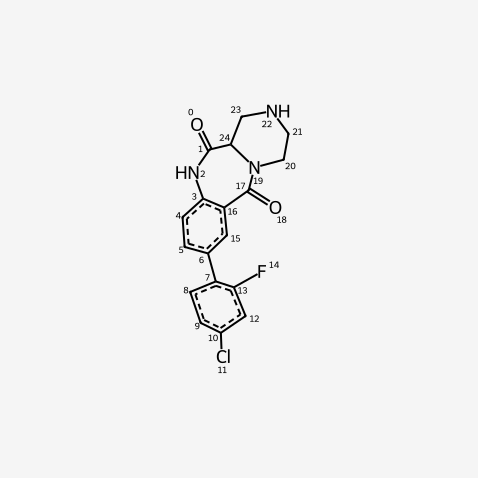 O=C1Nc2ccc(-c3ccc(Cl)cc3F)cc2C(=O)N2CCNCC12